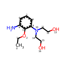 CCOc1c(N)cccc1N(CCO)CCO